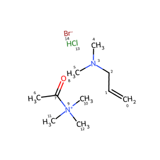 C=CCN(C)C.CC(=O)[N+](C)(C)C.Cl.[Br-]